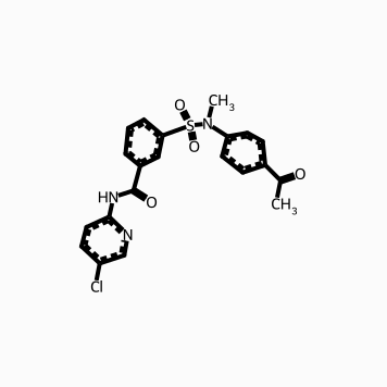 CC(=O)c1ccc(N(C)S(=O)(=O)c2cccc(C(=O)Nc3ccc(Cl)cn3)c2)cc1